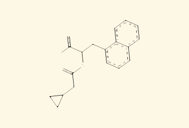 O=C(CC1CC1)NC(Cc1cccc2ccccc12)C(=O)O